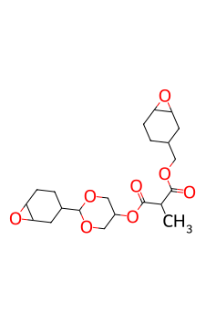 CC(C(=O)OCC1CCC2OC2C1)C(=O)OC1COC(C2CCC3OC3C2)OC1